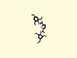 CCc1cc(CC)c(N=C(C)c2ccc(C(C)=Nc3c(CC)cc(CC)cc3CC)o2)c(CC)c1